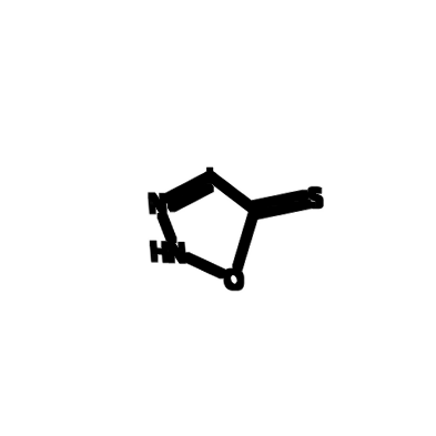 S=c1[c]n[nH]o1